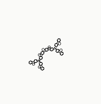 c1ccc2c(c1)oc1cc(N(c3ccc4c(c3)oc3ccccc34)c3ccc4c(c3)oc3cc5oc6cc7oc8cc(N(c9ccc%10c(c9)oc9ccccc9%10)c9ccc%10c(c9)oc9ccccc9%10)ccc8c7cc6c5cc34)ccc12